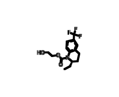 CC[C@@H]1CCc2cc(C(F)(F)F)ccc2N1C(=O)OCCO